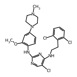 COc1cc(N2CCN(C)CC2)ccc1Nc1ncc(Cl)c(NCCc2c(Cl)cccc2Cl)n1